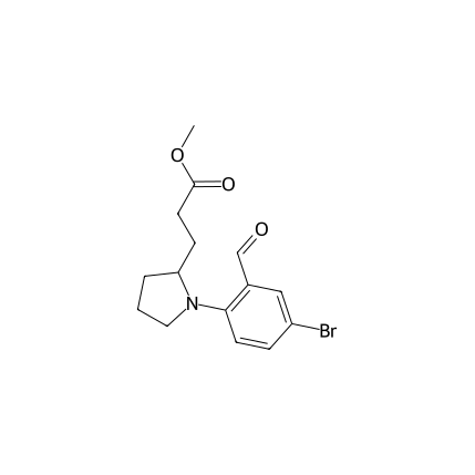 COC(=O)CCC1CCCN1c1ccc(Br)cc1C=O